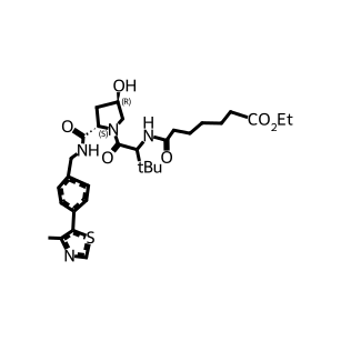 CCOC(=O)CCCCCC(=O)NC(C(=O)N1C[C@H](O)C[C@H]1C(=O)NCc1ccc(-c2scnc2C)cc1)C(C)(C)C